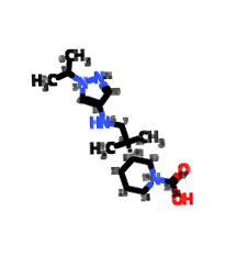 CC(C)n1cc(NCC(C)(C)[C@H]2CCCN(C(=O)O)C2)cn1